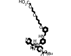 CC(C)(C)OC(=O)N1CCC(Nc2cccc(NCc3cccc(OCCCCCOCCCOCC(=O)O)c3)c2)(c2nnc(-c3ccncc3)[nH]2)CC1